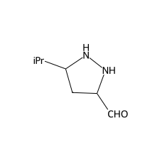 CC(C)C1CC(C=O)NN1